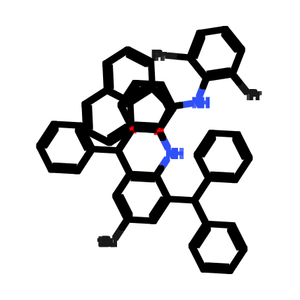 CC(C)c1cccc(C(C)C)c1NC1c2cccc3cccc(c23)C1Nc1c(C(c2ccccc2)c2ccccc2)cc(C(C)(C)C)cc1C(c1ccccc1)c1ccccc1